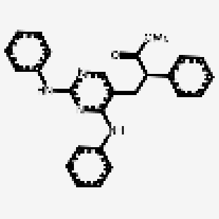 COC(=O)C(Cc1cnc(Nc2ccccc2)nc1Nc1ccccc1)c1ccccc1